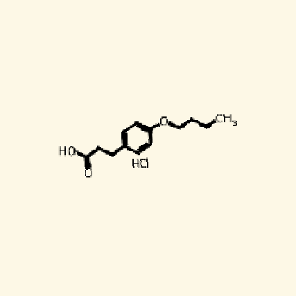 CCCCOc1ccc(CCC(=O)O)cc1.Cl